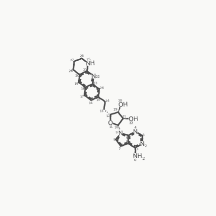 Nc1ncnc2c1ccn2[C@@H]1O[C@H](CCc2ccc3cc4c(nc3c2)NCCC4)[C@@H](O)[C@H]1O